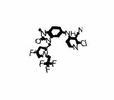 Cn1c(=O)n(C[C@@H]2C[C@H](F)CN2CC(F)(F)F)c2cc(Nc3ccnc(Cl)c3C#N)ccc21